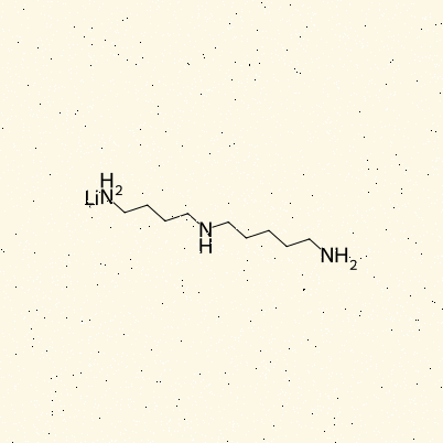 NCCCCCNCCCCN.[Li]